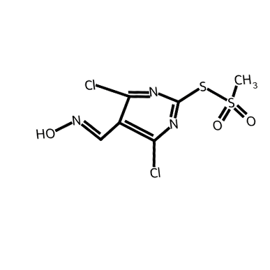 CS(=O)(=O)Sc1nc(Cl)c(/C=N/O)c(Cl)n1